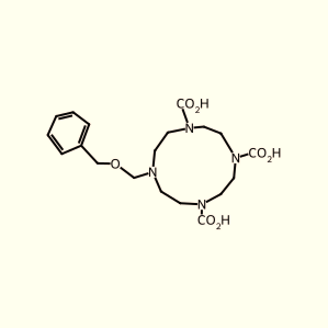 O=C(O)N1CCN(COCc2ccccc2)CCN(C(=O)O)CCN(C(=O)O)CC1